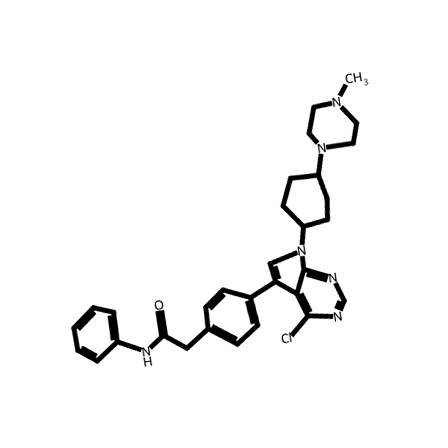 CN1CCN(C2CCC(n3cc(-c4ccc(CC(=O)Nc5ccccc5)cc4)c4c(Cl)ncnc43)CC2)CC1